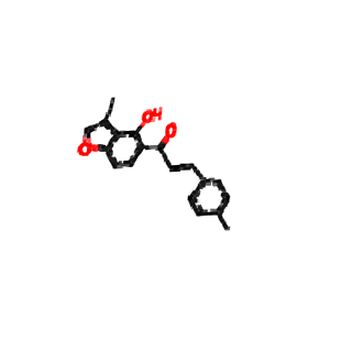 Cc1ccc(/C=C/C(=O)c2ccc3occ(C)c3c2O)cc1